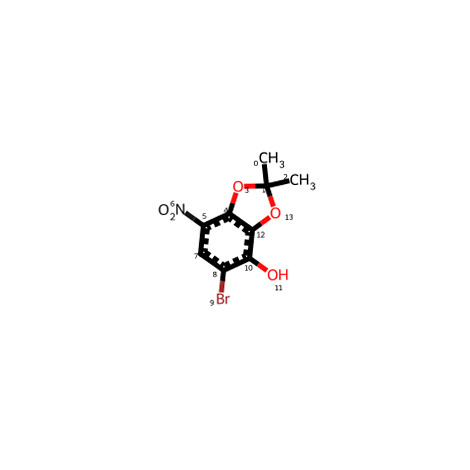 CC1(C)Oc2c([N+](=O)[O-])cc(Br)c(O)c2O1